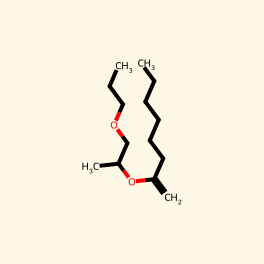 C=C(CCCCCC)OC(C)COCCC